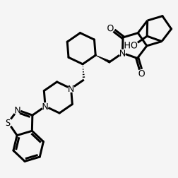 O=C1C2C3CCC(C3O)C2C(=O)N1C[C@@H]1CCCC[C@H]1CN1CCN(c2nsc3ccccc23)CC1